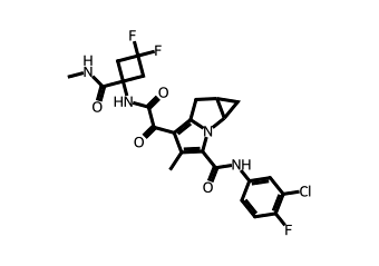 CNC(=O)C1(NC(=O)C(=O)c2c(C)c(C(=O)Nc3ccc(F)c(Cl)c3)n3c2CC2CC23)CC(F)(F)C1